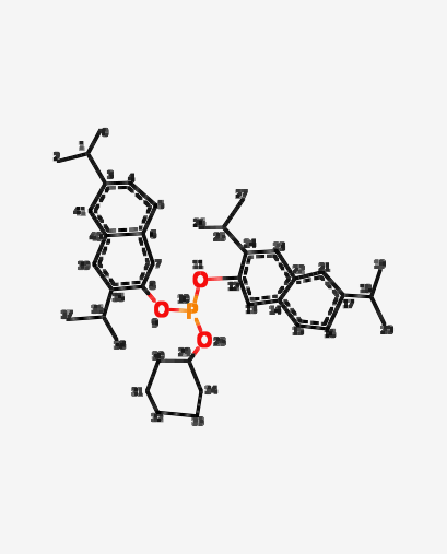 CC(C)c1ccc2cc(OP(Oc3cc4ccc(C(C)C)cc4cc3C(C)C)OC3CCCCC3)c(C(C)C)cc2c1